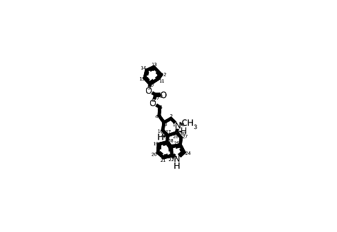 CN1CC(CCOC(=O)Oc2ccccc2)C[C@H]2c3cccc4[nH]cc(c34)C[C@@H]21